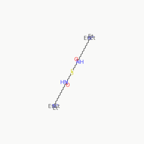 CC[N+](CC)(CC)CCCCCCCCCCCCCCCC(=O)NCCCCCCSSCCCCCCNC(=O)CCCCCCCCCCCCCCC[N+](CC)(CC)CC